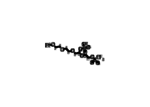 CCOCCOCCOCC(OCCOS(=O)(=O)C(F)(F)F)OS(=O)(=O)C(F)(F)F